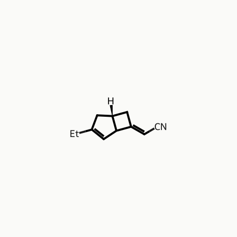 CCC1=CC2/C(=C/C#N)C[C@H]2C1